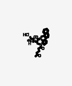 CNC(C)C(=O)NC1CN(C(=O)CCCC(C)=O)c2ccccc2N(Cc2c(C)ccc3ccccc23)C1=O.Cl